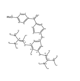 COc1ccc(C(=O)c2ccc(Oc3cc(C[N+](C)=C(N(C)C)N(C)C)c(C)c(C[N+](C)=C(N(C)C)N(C)C)c3)cc2)cc1